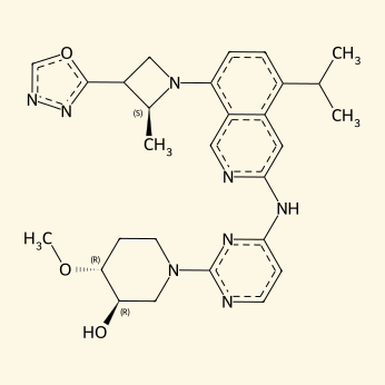 CO[C@@H]1CCN(c2nccc(Nc3cc4c(C(C)C)ccc(N5CC(c6nnco6)[C@@H]5C)c4cn3)n2)C[C@H]1O